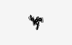 C=CC(=O)N1[C@H](C)CN(c2nc(=O)n3c4c(c(-c5cc(Cl)c(F)cc5F)c(Cl)cc24)SCC(OCCOC)C3)C[C@@H]1C